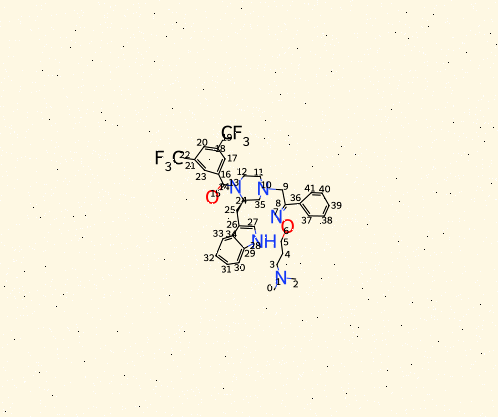 CN(C)CCCON=C(CN1CCN(C(=O)c2cc(C(F)(F)F)cc(C(F)(F)F)c2)[C@H](Cc2c[nH]c3ccccc23)C1)c1ccccc1